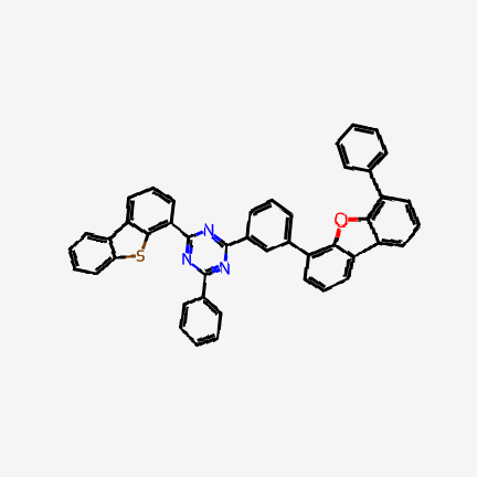 c1ccc(-c2nc(-c3cccc(-c4cccc5c4oc4c(-c6ccccc6)cccc45)c3)nc(-c3cccc4c3sc3ccccc34)n2)cc1